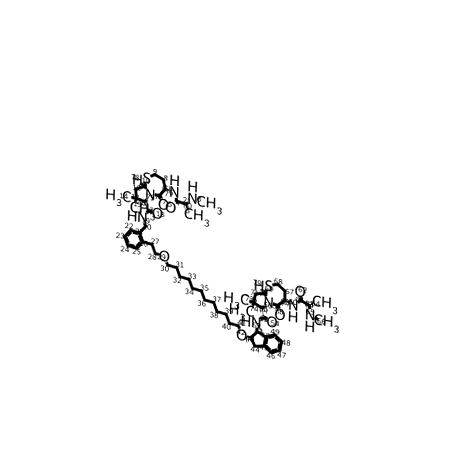 CN[C@@H](C)C(=O)N[C@H]1CCS[C@H]2CC(C)(C)[C@@H](C(=O)NCc3ccccc3CCOCCCCCCCCCCCCO[C@@H]3Cc4ccccc4[C@@H]3NC(=O)[C@H]3N4C(=O)[C@@H](NC(=O)[C@H](C)NC)CCS[C@H]4CC3(C)C)N2C1=O